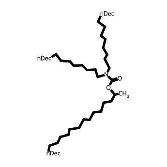 CCCCCCCCCCCCCCCCCCCCCCC(C)OC(=O)N(CCCCCCCCCCCCCCCCCC)CCCCCCCCCCCCCCCCCC